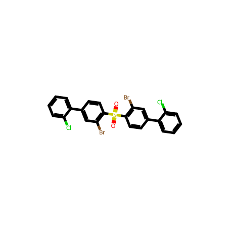 O=S(=O)(c1ccc(-c2ccccc2Cl)cc1Br)c1ccc(-c2ccccc2Cl)cc1Br